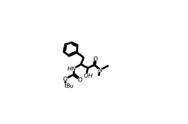 CN(C)C(=O)C(O)C(Cc1ccccc1)NC(=O)OC(C)(C)C